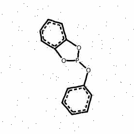 [c]1ccccc1OP1Oc2ccccc2O1